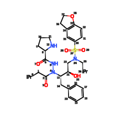 CC(C)CC(=O)N(NC(=O)C1CCCN1)[C@@H](Cc1ccccc1)[C@H](O)CN(CC(C)C)S(=O)(=O)c1ccc2c(c1)CCO2